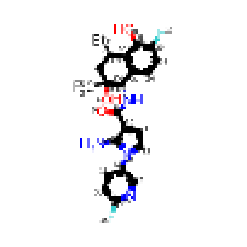 CC[C@@H]1C[C@](O)(C(F)(F)F)[C@@H](NC(=O)c2ccn(-c3ccc(F)nc3)c2N)c2ccc(F)c(O)c21